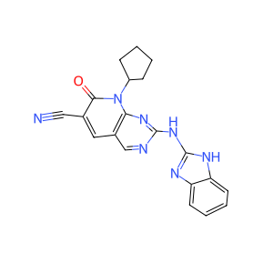 N#Cc1cc2cnc(Nc3nc4ccccc4[nH]3)nc2n(C2CCCC2)c1=O